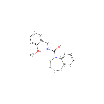 O=C(NCc1ccccc1OC(F)(F)F)N1CCCCc2ccccc21